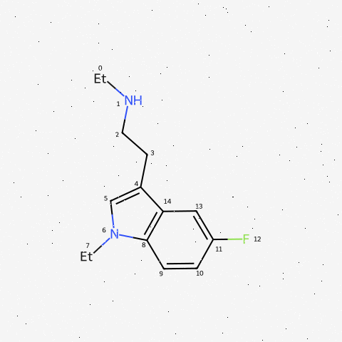 CCNCCc1cn(CC)c2ccc(F)cc12